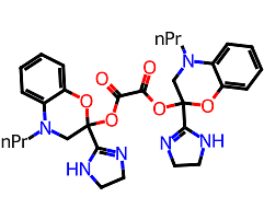 CCCN1CC(OC(=O)C(=O)OC2(C3=NCCN3)CN(CCC)c3ccccc3O2)(C2=NCCN2)Oc2ccccc21